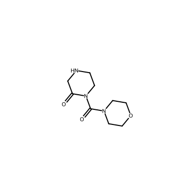 O=C1CNCCN1C(=O)N1CCOCC1